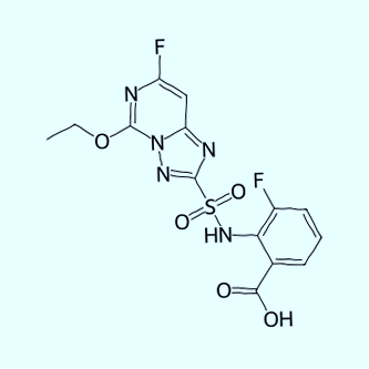 CCOc1nc(F)cc2nc(S(=O)(=O)Nc3c(F)cccc3C(=O)O)nn12